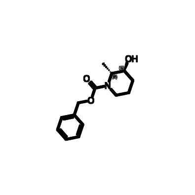 C[C@@H]1[C@@H](O)CCCN1C(=O)OCc1ccccc1